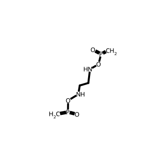 C=P(=O)ONCCNOP(=C)=O